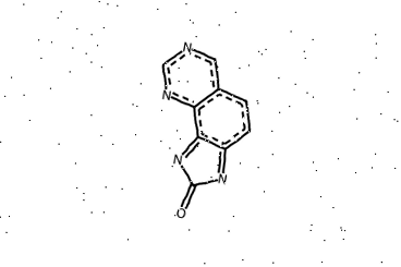 O=C1N=c2ccc3cncnc3c2=N1